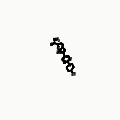 CCC1CCN(c2ncc(-c3cc4ccc(C(N)=O)cc4[nH]3)cn2)CC1